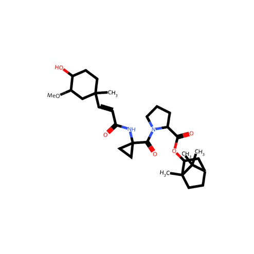 COC1CC(C)(/C=C/C(=O)NC2(C(=O)N3CCCC3C(=O)OC3CC4CCC3(C)C4(C)C)CC2)CCC1O